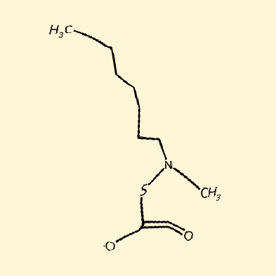 CCCCCCN(C)SC([O])=O